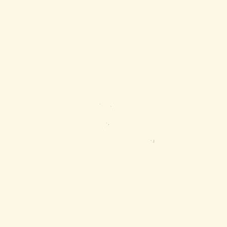 NCCCC[C@H](N)C(=O)[N]C(=O)c1ccccc1